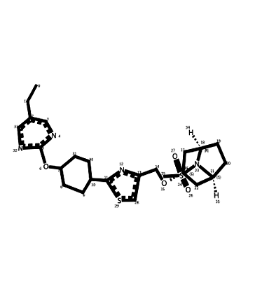 CCc1cnc(OC2CCC(c3nc(CO[C@@H]4C[C@H]5CC[C@@H](C4)N5S(C)(=O)=O)cs3)CC2)nc1